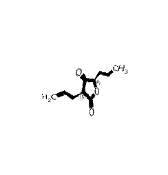 C=CC[C@@H]1C(=O)O[C@H](CCC)C1=O